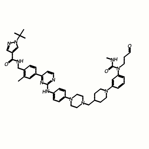 CNC(=O)N(CCC=O)c1cccc(N2CCC(CN3CCN(c4ccc(Nc5nccc(-c6ccc(CNC(=O)c7cnn(C(C)(C)C)c7)c(C)c6)n5)cc4)CC3)CC2)c1